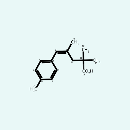 CC(=Cc1ccc(C)cc1)CC(C)(C)C(=O)O